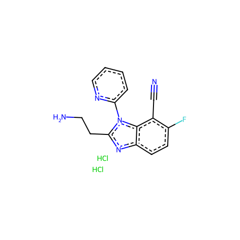 Cl.Cl.N#Cc1c(F)ccc2nc(CCN)n(-c3ccccn3)c12